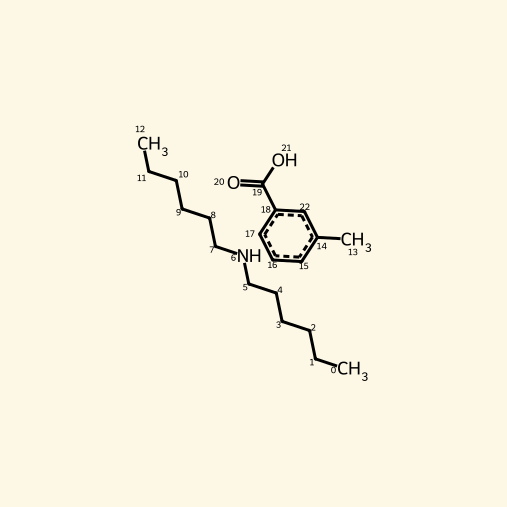 CCCCCCNCCCCCC.Cc1cccc(C(=O)O)c1